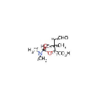 CN(C)C(=O)OC(C(=O)O)C(C)(C)CC=O